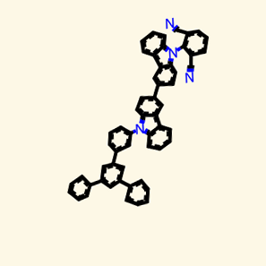 N#Cc1cccc(C#N)c1-n1c2ccccc2c2cc(-c3ccc4c(c3)c3ccccc3n4-c3cccc(-c4cc(-c5ccccc5)cc(-c5ccccc5)c4)c3)ccc21